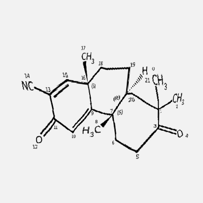 CC1(C)C(=O)CC[C@]2(C)C3=CC(=O)C(C#N)=C[C@]3(C)CC[C@@H]12